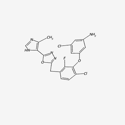 Cc1nc[nH]c1-c1nnc(Cc2ccc(Cl)c(Oc3cc(N)cc(Cl)c3)c2F)o1